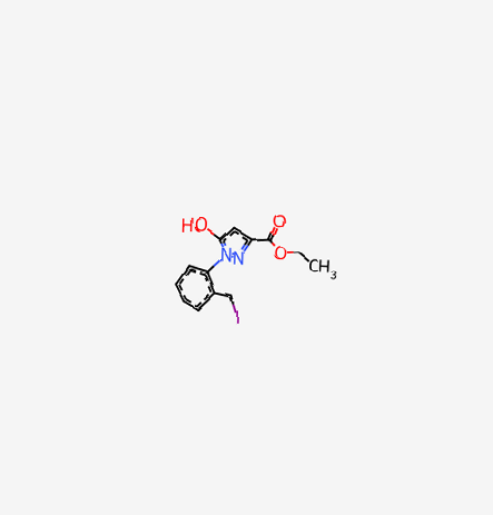 CCOC(=O)c1cc(O)n(-c2ccccc2CI)n1